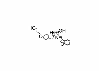 O=C(Cc1ccc(OCCCO)cc1)NC(Cc1coc2ccccc12)B(O)O